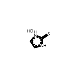 Cl.S=c1[nH]cc[nH]1